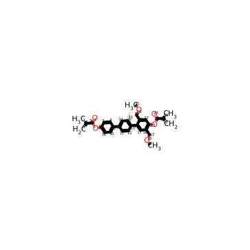 C=C(C)C(=O)Oc1ccc(-c2ccc(-c3cc(COC)c(OC(=O)C(=C)C)cc3COC)c(F)c2)cc1